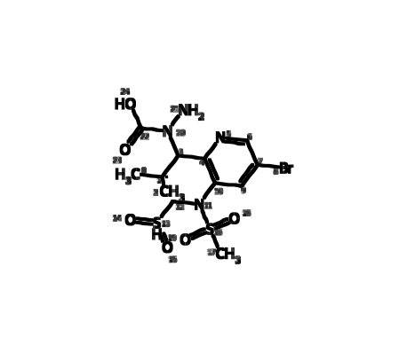 C[C](C)C(c1ncc(Br)cc1N(C[SH](=O)=O)S(C)(=O)=O)N(N)C(=O)O